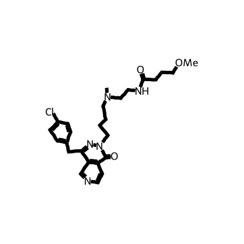 COCCCC(=O)NCCN(C)CCCCn1nc(Cc2ccc(Cl)cc2)c2cnccc2c1=O